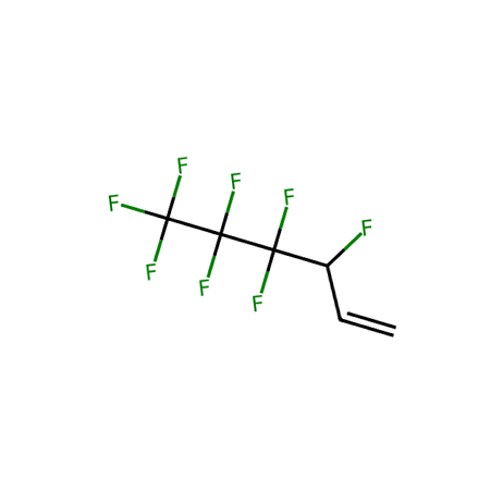 C=CC(F)C(F)(F)C(F)(F)C(F)(F)F